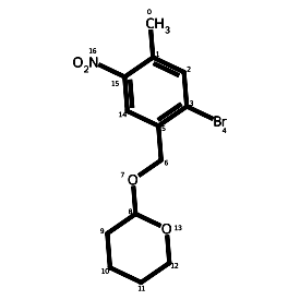 Cc1cc(Br)c(COC2CCCCO2)cc1[N+](=O)[O-]